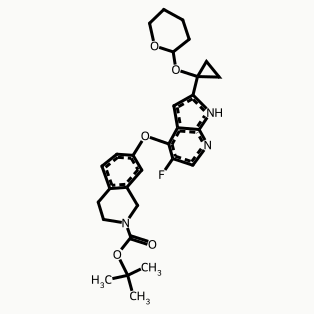 CC(C)(C)OC(=O)N1CCc2ccc(Oc3c(F)cnc4[nH]c(C5(OC6CCCCO6)CC5)cc34)cc2C1